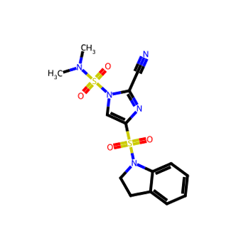 CN(C)S(=O)(=O)n1cc(S(=O)(=O)N2CCc3ccccc32)nc1C#N